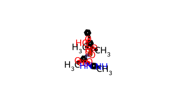 CCOC(CS(=O)(=O)/C=C/c1ccc(OC(C)=O)c(OC(=O)NC2=CC=C(NC)CC2)c1)C(OCC)c1ccc(OCc2ccccc2)c(O)c1